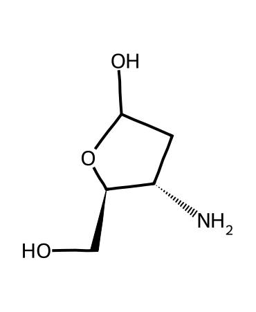 N[C@H]1CC(O)O[C@@H]1CO